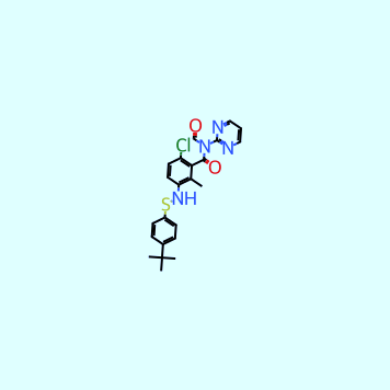 Cc1c(NSc2ccc(C(C)(C)C)cc2)ccc(Cl)c1C(=O)N(C=O)c1ncccn1